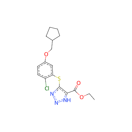 CCOC(=O)c1[nH]nnc1Sc1cc(OCC2CCCC2)ccc1Cl